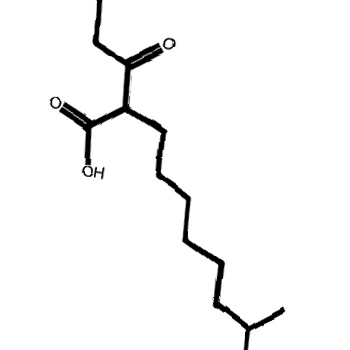 CCCC(=O)C(CCCCCCC(C)C)C(=O)O